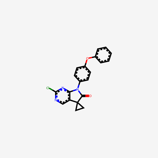 O=C1N(c2ccc(Oc3ccccc3)cc2)c2nc(Cl)ncc2C12CC2